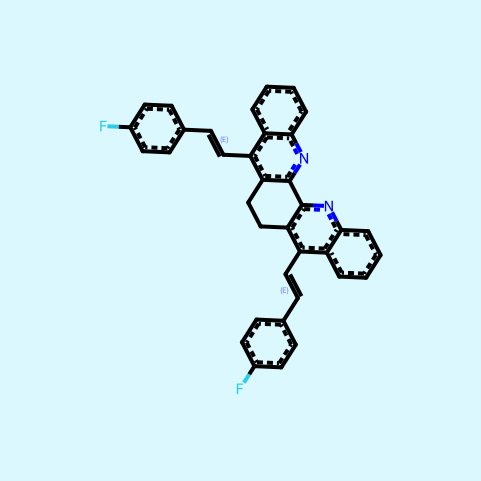 Fc1ccc(/C=C/c2c3c(nc4ccccc24)-c2nc4ccccc4c(/C=C/c4ccc(F)cc4)c2CC3)cc1